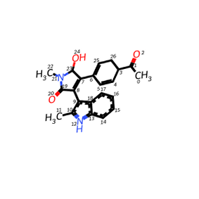 CC(=O)C1C=CC(C2=C(c3c(C)[nH]c4ccccc34)C(=O)N(C)C2O)=CC1